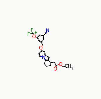 CCOC(=O)CC1CCCc2c1cc1cc(OCc3cc(C#N)cc(OC(F)(F)F)c3)ccn21